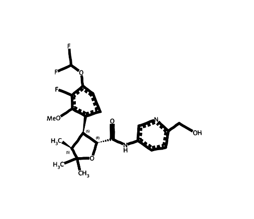 COc1c([C@H]2[C@H](C(=O)Nc3ccc(CO)nc3)OC(C)(C)[C@H]2C)ccc(OC(F)F)c1F